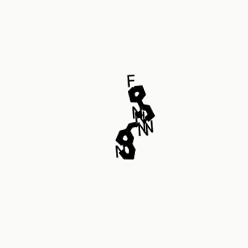 Fc1ccc(-c2ccc3nnc(Cc4ccc5ncccc5c4)n3n2)cc1